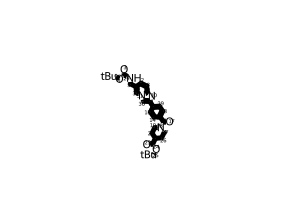 CC(C)(C)OC(=O)NCc1ccc2nc(-c3ccc(C(=O)N4CCC(C(=O)OC(C)(C)C)CC4)cc3)cn2c1